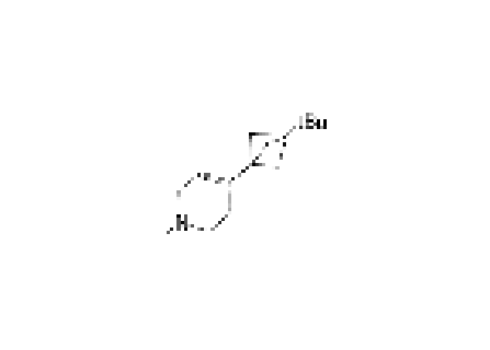 CN1CC=C(C23CC(C(C)(C)C)(C2)C3)CC1